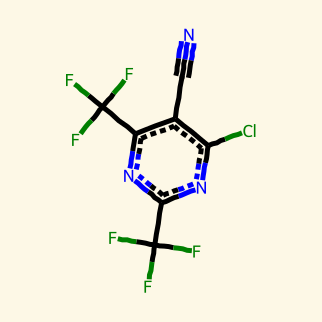 N#Cc1c(Cl)nc(C(F)(F)F)nc1C(F)(F)F